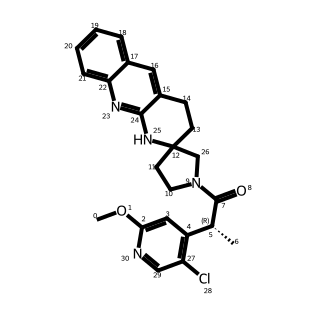 COc1cc([C@@H](C)C(=O)N2CCC3(CCc4cc5ccccc5nc4N3)C2)c(Cl)cn1